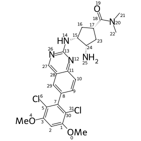 COc1cc(OC)c(Cl)c(-c2ccc3nc(N[C@@H]4C[C@H](C(=O)N(C)C)C[C@@H]4N)ncc3c2)c1Cl